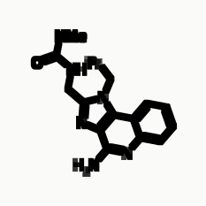 CNC(=O)NCc1nc2c(N)nc3ccccc3c2n1CC(C)C